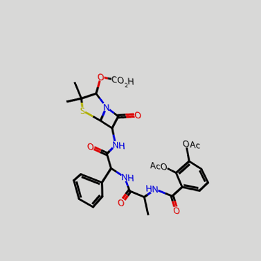 CC(=O)Oc1cccc(C(=O)NC(C)C(=O)NC(C(=O)NC2C(=O)N3C2SC(C)(C)C3OC(=O)O)c2ccccc2)c1OC(C)=O